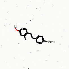 CCCCCc1ccc(CCc2ccc(OCC)cc2C)cc1